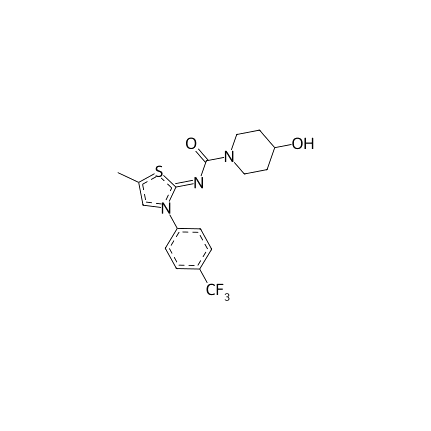 Cc1cn(-c2ccc(C(F)(F)F)cc2)/c(=N/C(=O)N2CCC(O)CC2)s1